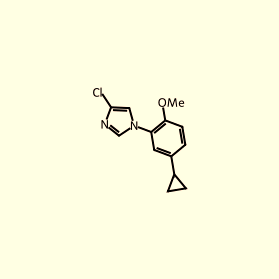 COc1ccc([C]2CC2)cc1-n1cnc(Cl)c1